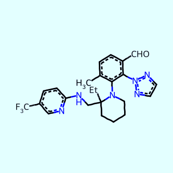 CCC1(CNc2ccc(C(F)(F)F)cn2)CCCCN1c1c(C)ccc(C=O)c1-n1nccn1